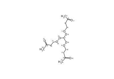 CC(=O)CCOOC(OOCCC(C)=O)OOCCC(C)=O